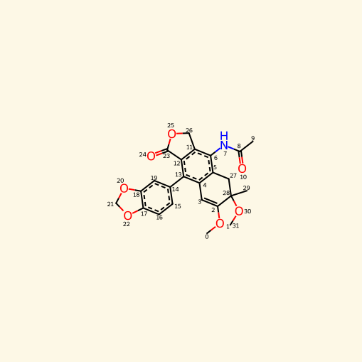 COC1=Cc2c(c(NC(C)=O)c3c(c2-c2ccc4c(c2)OCO4)C(=O)OC3)CC1(C)OC